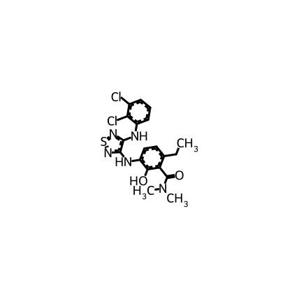 CCc1ccc(Nc2nsnc2Nc2cccc(Cl)c2Cl)c(O)c1C(=O)N(C)C